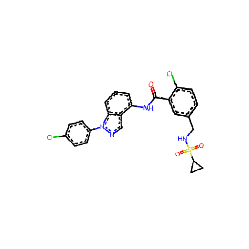 O=C(Nc1cccc2c1cnn2-c1ccc(Cl)cc1)c1cc(CNS(=O)(=O)C2CC2)ccc1Cl